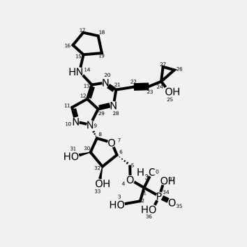 CC(CO)(OC[C@H]1O[C@@H](n2ncc3c(NC4CCCC4)nc(C#CC4(O)CC4)nc32)[C@H](O)[C@@H]1O)P(=O)(O)O